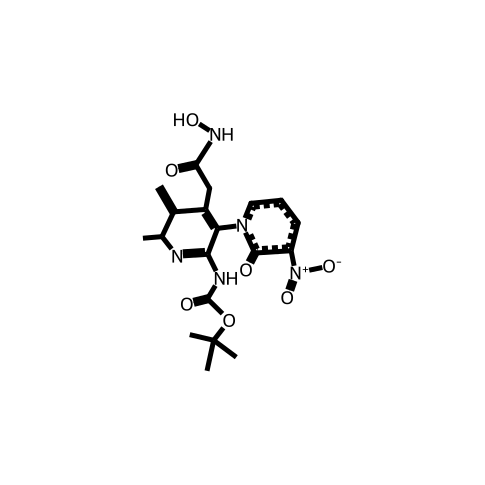 C=C1C(CC(=O)NO)=C(n2cccc([N+](=O)[O-])c2=O)C(NC(=O)OC(C)(C)C)=NC1C